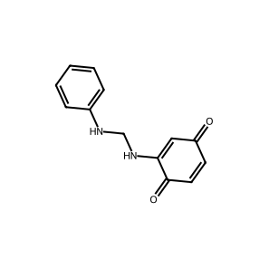 O=C1C=CC(=O)C(NCNc2ccccc2)=C1